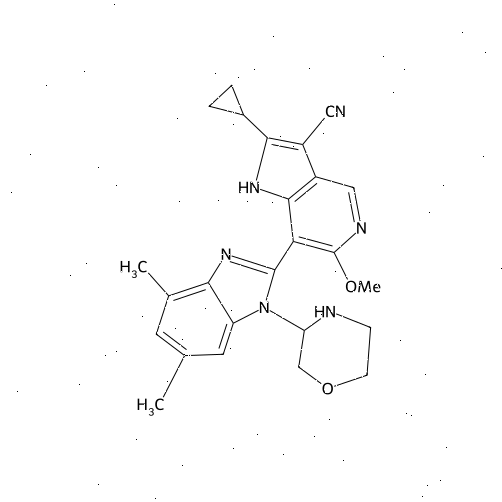 COc1ncc2c(C#N)c(C3CC3)[nH]c2c1-c1nc2c(C)cc(C)cc2n1C1COCCN1